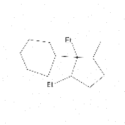 CC[C]1CCC(C)C1(CC)C1CCCCC1